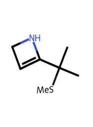 CSC(C)(C)C1=CCN1